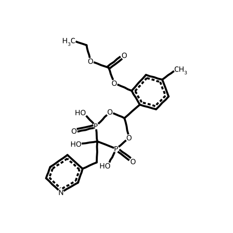 CCOC(=O)Oc1cc(C)ccc1C1OP(=O)(O)C(O)(Cc2cccnc2)P(=O)(O)O1